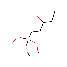 CCC(O)CC[Si](OC)(OC)OC